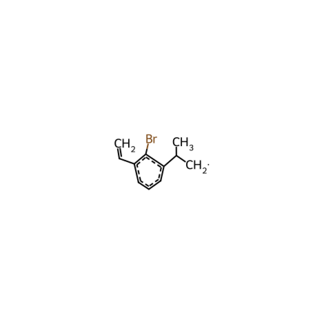 [CH2]C(C)c1cccc(C=C)c1Br